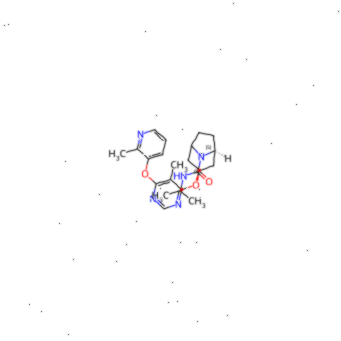 Cc1ncccc1Oc1ncnc(O[C@H]2CC3CC[C@@H](C2)N3C(=O)NC(C)C)c1C